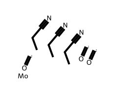 CCC#N.CCC#N.CCC#N.[C]=O.[C]=O.[C]=O.[Mo]